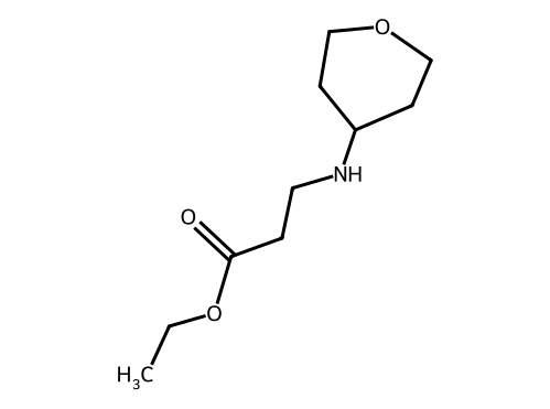 CCOC(=O)CCNC1CCOCC1